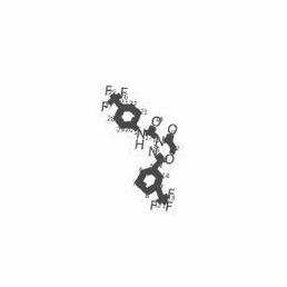 O=C1COC(c2cccc(C(F)(F)F)c2)=NN1C(=O)Nc1ccc(C(F)(F)F)cc1